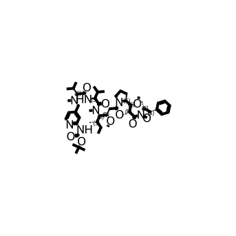 CC[C@H](C)[C@@H]([C@@H](CC(=O)N1CCC[C@H]1[C@H](OC)[C@@H](C)C(=O)N1O[C@@H](c2ccccc2)[C@H]1C)OC)N(C)C(=O)[C@@H](NC(=O)[C@H](C(C)C)N(C)Cc1ccnc(NC(=O)OC(C)(C)C)c1)C(C)C